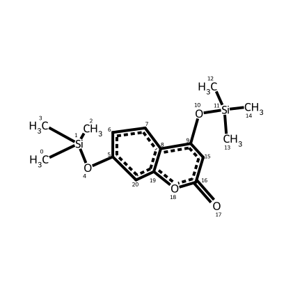 C[Si](C)(C)Oc1ccc2c(O[Si](C)(C)C)cc(=O)oc2c1